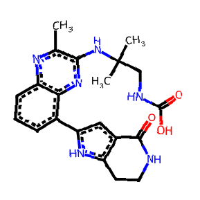 Cc1nc2cccc(-c3cc4c([nH]3)CCNC4=O)c2nc1NC(C)(C)CNC(=O)O